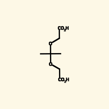 CC(C)(OCC(=O)O)OCC(=O)O